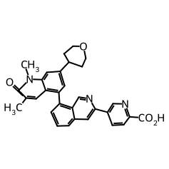 Cc1cc2c(-c3cccc4cc(-c5ccc(C(=O)O)nc5)ncc34)cc(C3CCOCC3)cc2n(C)c1=O